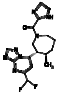 C[C@@H]1CCCN(C(=O)c2ncc[nH]2)C[C@H]1c1cc(C(F)F)nc2ncnn12